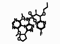 CCCO[C@@H](c1ncc(F)cn1)[C@H](C)S(=O)(=O)Nc1nnc([C@H]2CCOC2)n1-c1c(OC)ncnc1OC